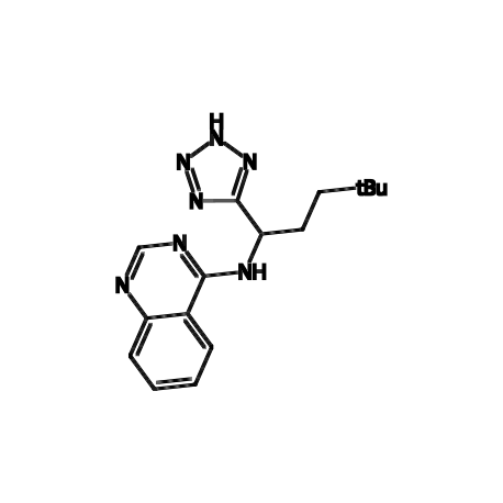 CC(C)(C)CCC(Nc1ncnc2ccccc12)c1nn[nH]n1